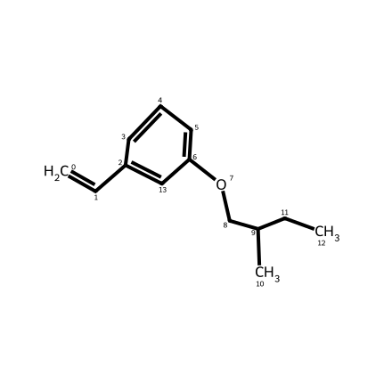 C=Cc1cccc(OCC(C)CC)c1